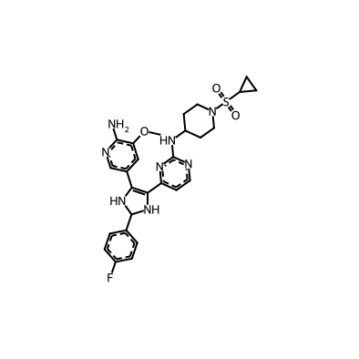 COc1cc(C2=C(c3ccnc(NC4CCN(S(=O)(=O)C5CC5)CC4)n3)NC(c3ccc(F)cc3)N2)cnc1N